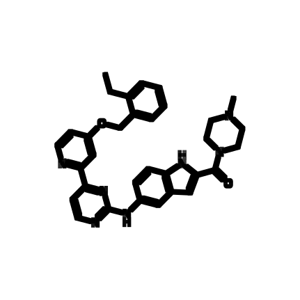 CCc1ccccc1COc1ccnc(-c2ccnc(Nc3ccc4[nH]c(C(=O)N5CCN(C)CC5)cc4c3)n2)c1